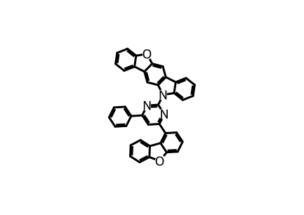 c1ccc(-c2cc(-c3cccc4oc5ccccc5c34)nc(-n3c4ccccc4c4cc5oc6ccccc6c5cc43)n2)cc1